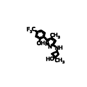 Cc1cc(NC2CC(C)(O)C2)nnc1-c1ccc(C(F)(F)F)cc1O